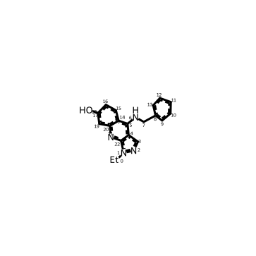 CCn1ncc2c(NCc3ccccc3)c3ccc(O)cc3nc21